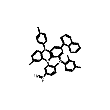 Cc1ccc(N2c3ccc(C)cc3B3c4cc([SiH]=P)ccc4N(c4ccc(C)cc4C)c4cc(-c5cccc6ccccc56)cc2c43)cc1